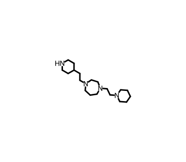 C1CCN(CCN2CCCN(CCC3CCNCC3)CC2)CC1